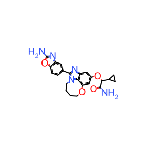 NC(=O)C(Oc1cc2c3c(c1)nc(-c1ccc4oc(N)nc4c1)n3CCCCO2)C1CC1